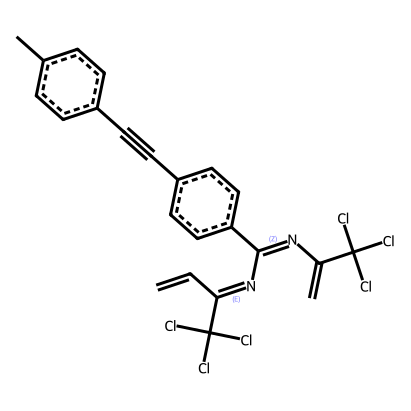 C=C/C(=N\C(=N/C(=C)C(Cl)(Cl)Cl)c1ccc(C#Cc2ccc(C)cc2)cc1)C(Cl)(Cl)Cl